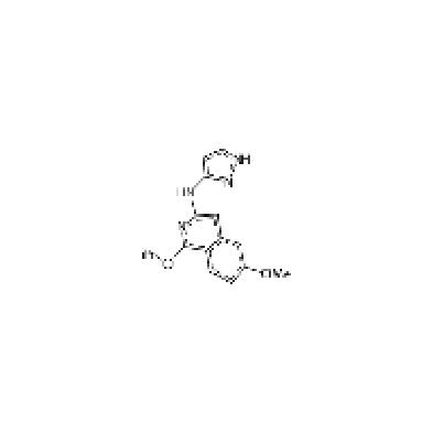 COc1ccc2c(OC(C)C)nc(Nc3cc[nH]n3)cc2c1